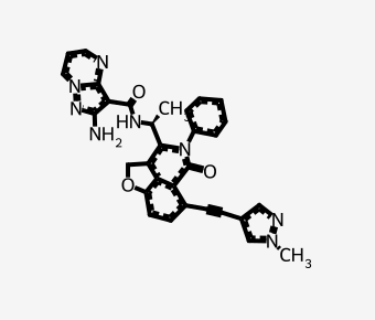 C[C@H](NC(=O)c1c(N)nn2cccnc12)c1c2c3c(ccc(C#Cc4cnn(C)c4)c3c(=O)n1-c1ccccc1)OC2